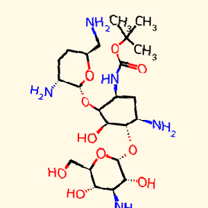 CC(C)(C)OC(=O)N[C@H]1C[C@@H](N)[C@H](O[C@H]2O[C@H](CO)[C@@H](O)[C@H](N)[C@H]2O)[C@@H](O)C1O[C@H]1O[C@H](CN)CC[C@H]1N